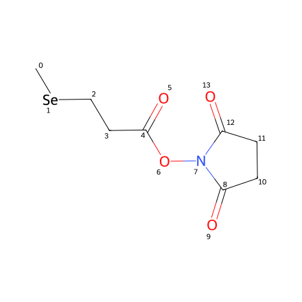 C[Se]CCC(=O)ON1C(=O)CCC1=O